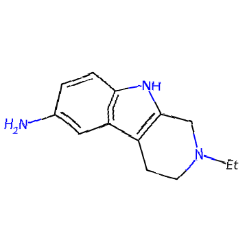 CCN1CCc2c([nH]c3ccc(N)cc23)C1